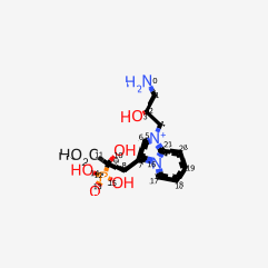 NCC(O)C[n+]1cc(CC(O)(C(=O)O)P(=O)(O)O)n2ccccc21